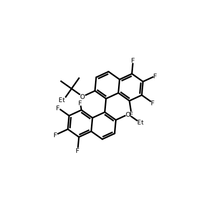 CCOc1ccc2c(F)c(F)c(F)c(F)c2c1-c1c(OC(C)(C)CC)ccc2c(F)c(F)c(F)c(F)c12